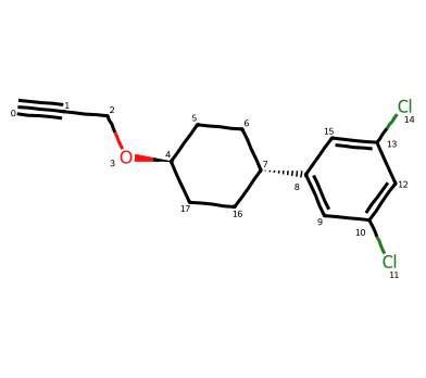 C#CCO[C@H]1CC[C@H](c2cc(Cl)cc(Cl)c2)CC1